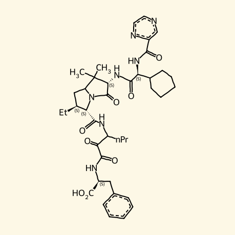 CCCC(NC(=O)[C@@H]1[C@@H](CC)CC2N1C(=O)[C@@H](NC(=O)[C@@H](NC(=O)c1cnccn1)C1CCCCC1)C2(C)C)C(=O)C(=O)N[C@@H](Cc1ccccc1)C(=O)O